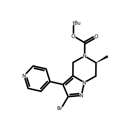 C[C@H]1Cn2nc(Br)c(-c3ccncc3)c2CN1C(=O)OC(C)(C)C